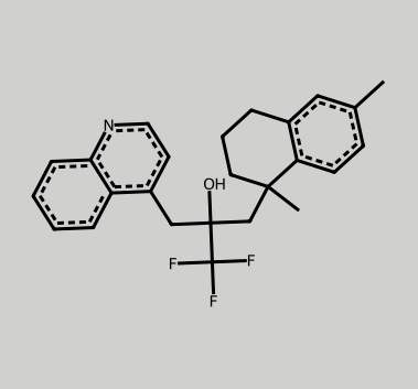 Cc1ccc2c(c1)CCCC2(C)CC(O)(Cc1ccnc2ccccc12)C(F)(F)F